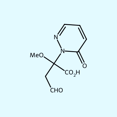 COC(CC=O)(C(=O)O)n1ncccc1=O